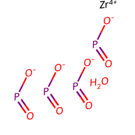 O.O=P[O-].O=P[O-].O=P[O-].O=P[O-].[Zr+4]